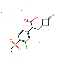 CS(=O)(=O)c1ccc(C(CC2CC(=O)C2)C(=O)O)cc1Cl